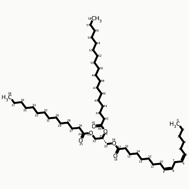 CCCCC/C=C\C/C=C\CCCCCCCC(=O)OC[C@H](COC(=O)CCCCCCCCCCCCC)OC(=O)CCCCCCCCCCCCCCCCC